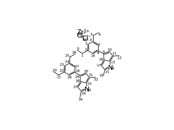 CCc1cc(CC)cc(C2=CC(C)=C3N=C(C)C=C23)c1.CCc1cc(CC)cc(C2=CC(C)=C3N=C(C)C=C23)c1.[Cl-].[Cl-].[Zr+2]